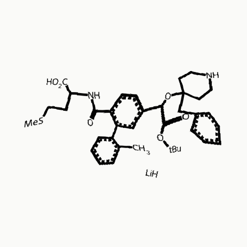 CSCCC(NC(=O)c1ccc(C(OC2(Cc3ccccc3)CCNCC2)C(=O)OC(C)(C)C)cc1-c1ccccc1C)C(=O)O.[LiH]